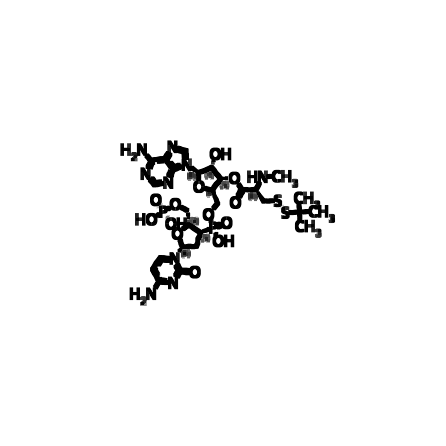 CN[C@@H](CSSC(C)(C)C)C(=O)O[C@H]1[C@@H](O)[C@H](n2cnc3c(N)ncnc32)O[C@@H]1COP(=O)(O)[C@H]1C[C@H](n2ccc(N)nc2=O)O[C@@H]1COP(=O)(O)O